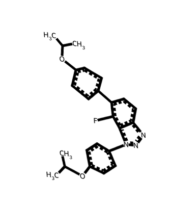 CC(C)Oc1ccc(-c2ccc3nnn(-c4ccc(OC(C)C)cc4)c3c2F)cc1